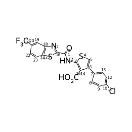 O=C(Nc1scc(-c2ccc(Cl)cc2)c1C(=O)O)c1nc2cc(C(F)(F)F)ccc2s1